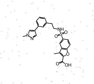 Cc1c(C(=O)O)oc2ccc(S(=O)(=O)NCCc3cccc(-c4cnn(C)c4)c3)cc12